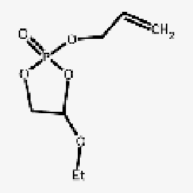 C=CCOP1(=O)OCC(OCC)O1